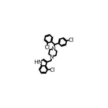 Clc1ccc(C(c2ccccc2Cl)N2CCN(Cc3c[nH]c4cccc(Cl)c34)CC2)cc1